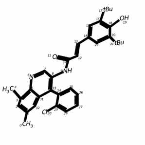 Cc1cc(C)c2ncc(NC(=O)C=Cc3cc(C(C)(C)C)c(O)c(C(C)(C)C)c3)c(-c3ccccc3Cl)c2c1